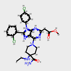 CCNC1(C(N)=O)CCN(c2nc(CC(=O)OC)nc3c2nc(-c2ccccc2Cl)n3-c2ccc(Cl)cc2)CC1